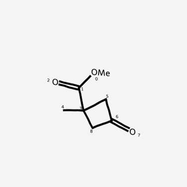 COC(=O)C1(C)CC(=O)C1